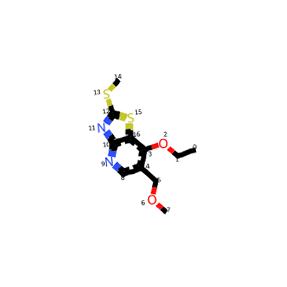 CCOc1c(COC)cnc2nc(SC)sc12